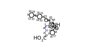 O=C(O)CCC/C=C\C[C@@H]1[C@@H](NS(=O)(=O)c2ccccc2)CC[C@@H]1OCc1ccc(-c2ccccc2)cc1